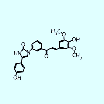 COc1cc(C=CC(=O)c2cccc(-n3cc(-c4ccc(O)cc4)[nH]c3=O)c2)cc(OC)c1O